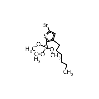 CCCCCCc1cc(Br)sc1[Si](OC)(OC)OC